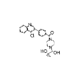 O=C(c1ccc(-c2cnc3ccccc3c2Cl)cc1)N1CCN(C(O)C2(O)CC2)CC1